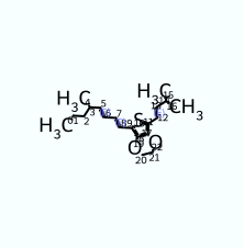 CCCC(C)/C=C/C=C/c1sc(/C=C/C(C)C)c2c1OCCO2